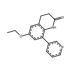 CCOc1cc2c(c(-c3cccnc3)c1)NC(=O)CC2